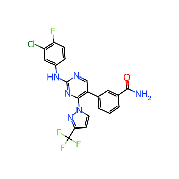 NC(=O)c1cccc(-c2cnc(Nc3ccc(F)c(Cl)c3)nc2-n2ccc(C(F)(F)F)n2)c1